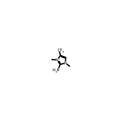 Bc1n(C)cc(C(F)(F)F)[n+]1C